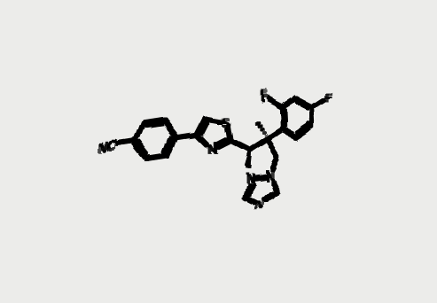 C[C@@H](c1nc(-c2ccc(C#N)cc2)cs1)[C@](C)(Cn1cncn1)c1ccc(F)cc1F